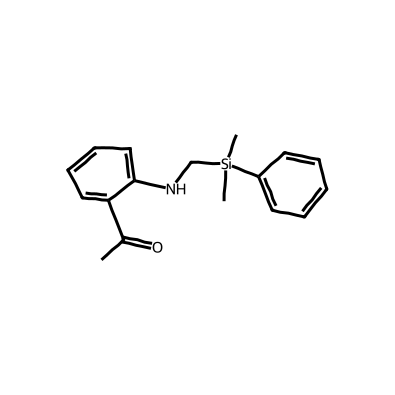 CC(=O)c1ccccc1NC[Si](C)(C)c1ccccc1